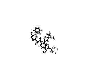 CC(C)c1nc2c(N3CC[C@](N)(C(F)(F)F)C3)c(NC(=O)c3ccc(=O)n(-c4c(F)cccc4F)n3)ccc2n1C